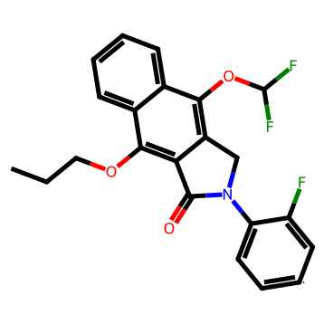 CCCOc1c2c(c(OC(F)F)c3ccccc13)CN(c1cc[c]cc1F)C2=O